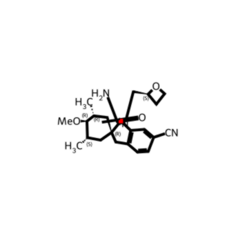 CO[C@H]1[C@H](C)C[C@@]2(Cc3ccc(C#N)cc3[C@]23N=C(N)N(C[C@@H]2CCO2)C3=O)C[C@@H]1C